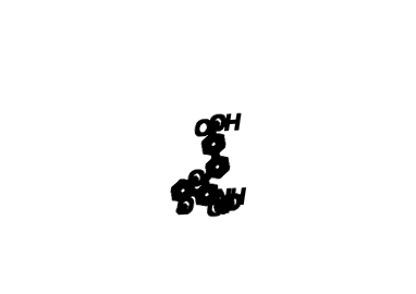 COc1cccc2c1-c1ccc(NS(C)(=O)=O)cc1C(c1cccc(-c3ccc(C(=O)O)cc3)c1)O2